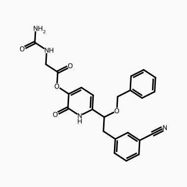 N#Cc1cccc(CC(OCc2ccccc2)c2ccc(OC(=O)CNC(N)=O)c(=O)[nH]2)c1